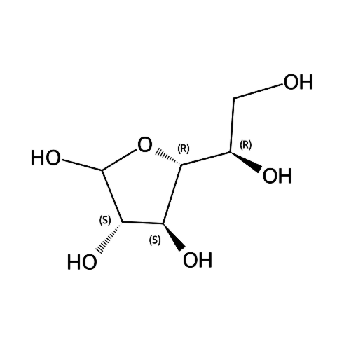 OC[C@@H](O)[C@H]1OC(O)[C@@H](O)[C@@H]1O